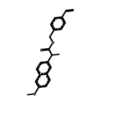 C=Cc1ccc(COC(=O)C(C)c2ccc3cc(OC)ccc3c2)cc1